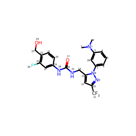 CN(C)c1cccc(-n2nc(C(F)(F)F)cc2CNC(=O)Nc2ccc(CO)c(F)c2)c1